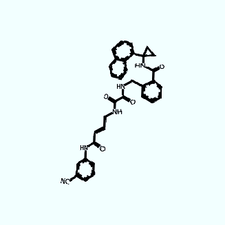 N#Cc1cccc(NC(=O)/C=C/CNC(=O)C(=O)NCc2ccccc2C(=O)NC2(c3cccc4ccccc34)CC2)c1